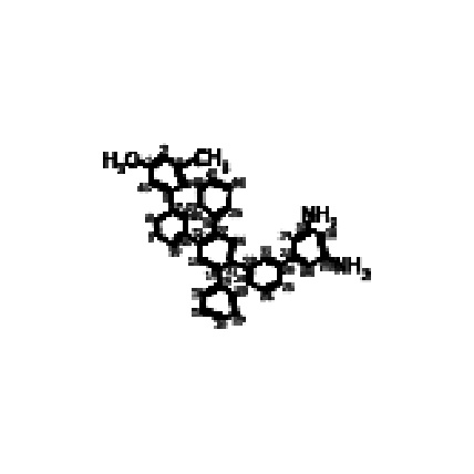 Cc1cc(C)cc(-c2cccc(-c3cc(-c4ccccc4)c(-c4cccc(-c5cc(N)cc(N)c5)c4)cc3-c3ccccc3)c2)c1